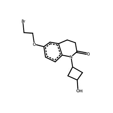 O=C1CCc2cc(OCCBr)ccc2N1C1CC(O)C1